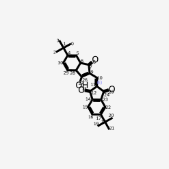 CC(C)(C)C1=CC2C(=O)C(/C=C3\C(=O)c4ccc(C(C)(C)C)cc4C3=O)=C(O)C2C=C1